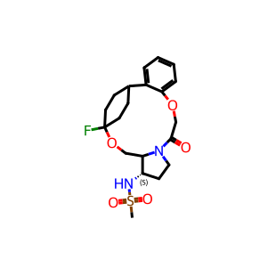 CS(=O)(=O)N[C@H]1CCN2C(=O)COc3ccccc3C3CCC(F)(CC3)OCC12